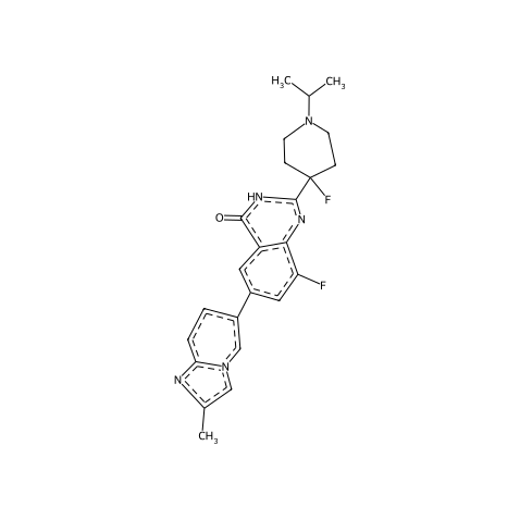 Cc1cn2cc(-c3cc(F)c4nc(C5(F)CCN(C(C)C)CC5)[nH]c(=O)c4c3)ccc2n1